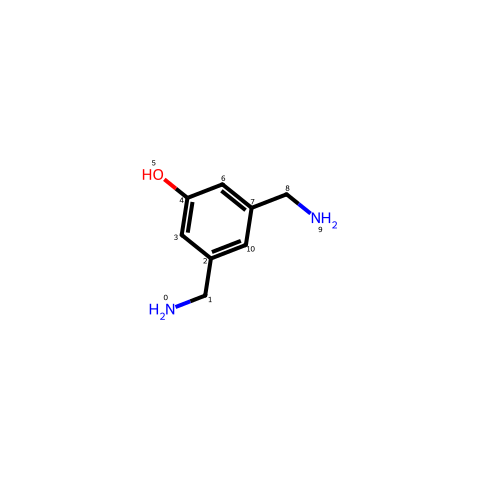 NCc1cc(O)cc(CN)c1